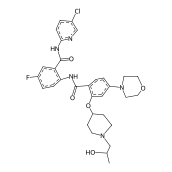 CC(O)CN1CCC(Oc2cc(N3CCOCC3)ccc2C(=O)Nc2ccc(F)cc2C(=O)Nc2ccc(Cl)cn2)CC1